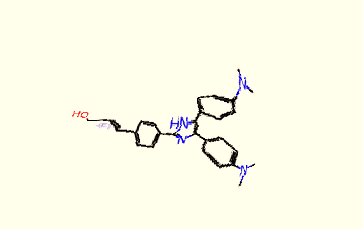 CN(C)c1ccc(-c2nc(-c3ccc(/C=C/CO)cc3)[nH]c2-c2ccc(N(C)C)cc2)cc1